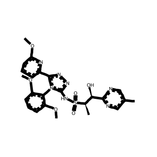 COc1cccc(-c2nnc(NS(=O)(=O)[C@H](C)[C@@H](O)c3ncc(C)cn3)n2-c2c(OC)cccc2OC)n1